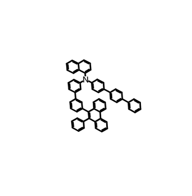 c1ccc(-c2ccc(-c3ccc(N(c4cccc(-c5cccc(-c6c(-c7ccccc7)c7ccccc7c7ccccc67)c5)c4)c4cccc5ccccc45)cc3)cc2)cc1